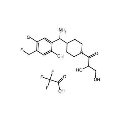 NC(c1cc(Cl)c(CF)cc1O)C1CCN(C(=O)C(O)CO)CC1.O=C(O)C(F)(F)F